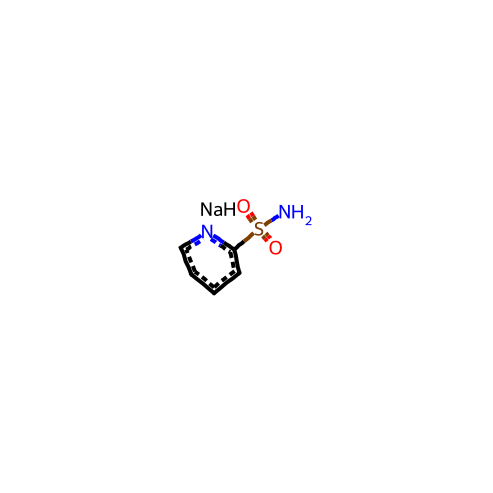 NS(=O)(=O)c1ccccn1.[NaH]